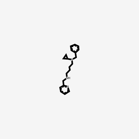 c1ccc(CN(CCCCNCc2ccccn2)C2CC2)cc1